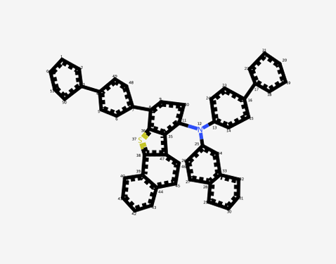 c1ccc(-c2ccc(-c3ccc(N(c4ccc(-c5ccccc5)cc4)c4ccc5ccccc5c4)c4c3sc3c5ccccc5ccc34)cc2)cc1